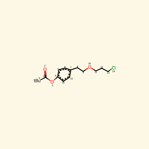 CC(C)(C)C(=O)Oc1ccc(CCOCCCCl)cc1